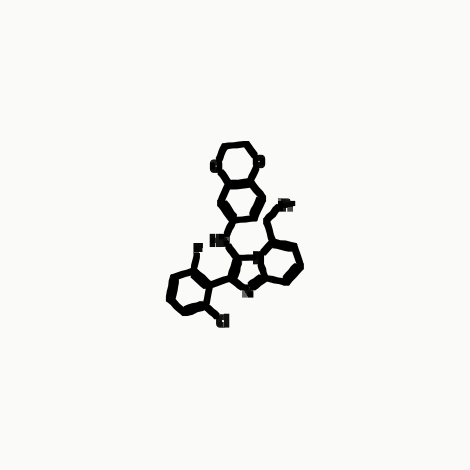 CC(C)Cc1cccc2nc(-c3c(F)cccc3Cl)c(Nc3ccc4c(c3)OCCO4)n12